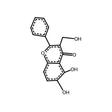 O=c1c(CO)c(-c2ccccc2)oc2ccc(O)c(O)c12